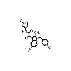 Cc1c(C(=O)C(=O)NC2=CC(=O)OC2)c2cc([N+](=O)[O-])ccc2n1Cc1ccc(Cl)cc1